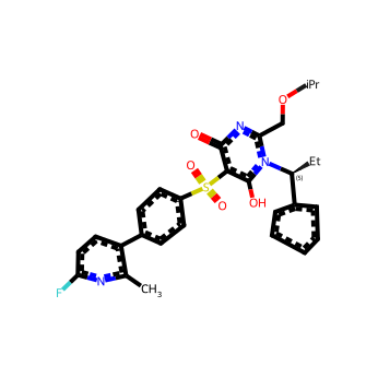 CC[C@@H](c1ccccc1)n1c(COC(C)C)nc(=O)c(S(=O)(=O)c2ccc(-c3ccc(F)nc3C)cc2)c1O